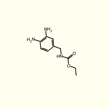 CCOC(=O)NCc1ccc(N)c(N)c1